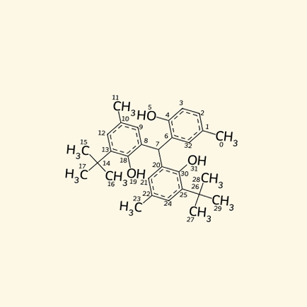 Cc1ccc(O)c(C(c2cc(C)cc(C(C)(C)C)c2O)c2cc(C)cc(C(C)(C)C)c2O)c1